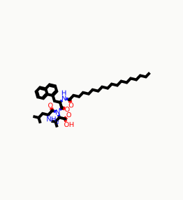 CCCCCCCCCCCCCCCCCC(=O)NC(Cc1cccc2ccccc12)C(=O)N(C(=O)C(N)CC(C)C)C(C(=O)O)C(C)C